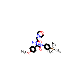 COc1ccc(C(NC(=O)CN2CCOCC2)C(=O)Nc2ccc(S(C)(C)C)cc2)cc1